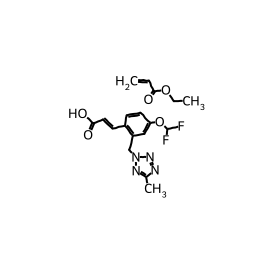 C=CC(=O)OCC.Cc1nnn(Cc2cc(OC(F)F)ccc2C=CC(=O)O)n1